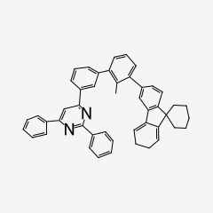 Cc1c(-c2cccc(-c3cc(-c4ccccc4)nc(-c4ccccc4)n3)c2)cccc1-c1ccc2c(c1)C1=CCCC=C1C21CCCCC1